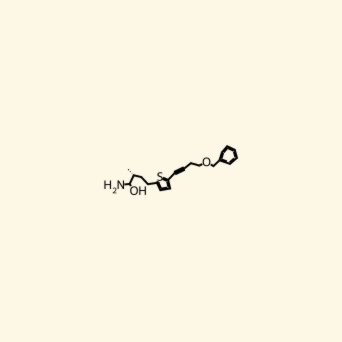 C[C@H](CCc1ccc(C#CCCOCc2ccccc2)s1)C(N)O